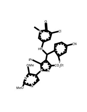 CCOC(=O)c1nn(-c2cnc(OC)nc2OC)c(C(C)C)c1C(Nc1cc(Cl)c(=O)n(C)c1)c1ccc(C#N)cc1F